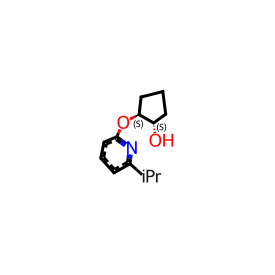 CC(C)c1cccc(O[C@H]2CCC[C@@H]2O)n1